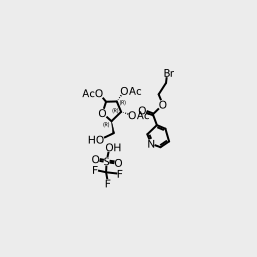 CC(=O)OC1O[C@H](CO)[C@@H](OC(C)=O)[C@H]1OC(C)=O.O=C(OCCBr)c1cccnc1.O=S(=O)(O)C(F)(F)F